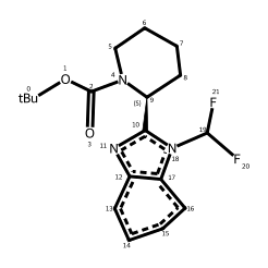 CC(C)(C)OC(=O)N1CCCC[C@H]1c1nc2ccccc2n1C(F)F